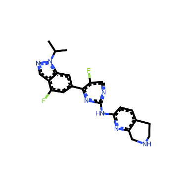 CC(C)n1ncc2c(F)cc(-c3nc(Nc4ccc5c(n4)CNCC5)ncc3F)cc21